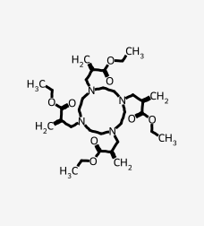 C=C(CN1CCN(CC(=C)C(=O)OCC)CCN(CC(=C)C(=O)OCC)CCN(CC(=C)C(=O)OCC)CC1)C(=O)OCC